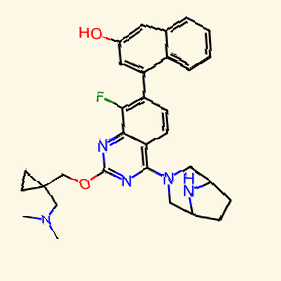 CN(C)CC1(COc2nc(N3CC4CCC(C3)N4)c3ccc(-c4cc(O)cc5ccccc45)c(F)c3n2)CC1